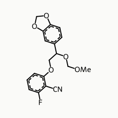 COCOC(COc1cccc(F)c1C#N)c1ccc2c(c1)OCO2